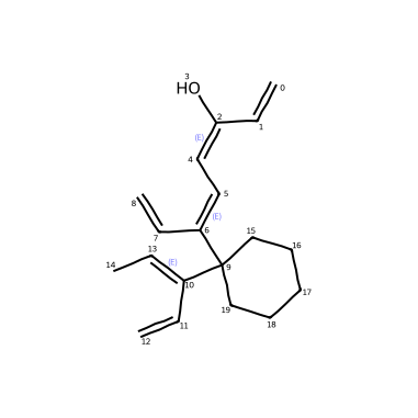 C=C/C(O)=C\C=C(/C=C)C1(/C(C=C)=C/C)CCCCC1